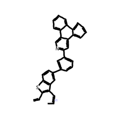 C=Cc1sc2ccc(-c3cccc(-c4cc5c6ccccc6c6ccccc6c5cn4)c3)cc2c1/C=C\C